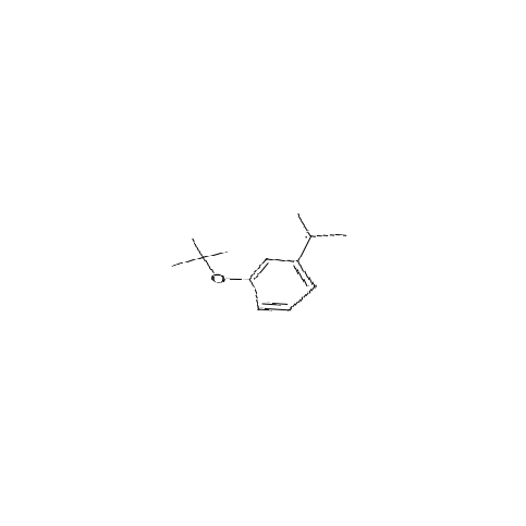 C[C](C)c1cccc(OC(C)(C)C)c1